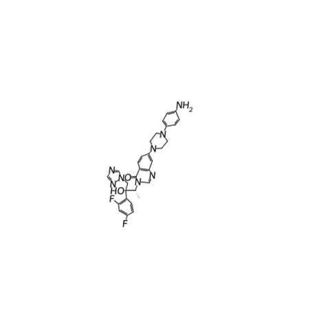 C[C@@H](n1cnc2cc(N3CCN(c4ccc(N)cc4)CC3)ccc2c1=O)[C@](O)(Cn1cncn1)c1ccc(F)cc1F